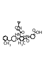 Cc1ccccc1CC1CCCN(c2cc(C)c(C(=O)N[C@H]3CCC[C@@H](C(=O)O)C3)cc2NC(=O)c2coc(C3CC3)n2)CC1